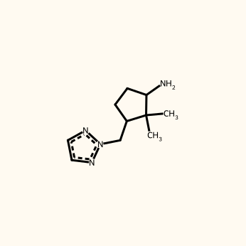 CC1(C)C(N)CCC1Cn1nccn1